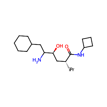 CC(C)[C@H](C[C@H](O)C(N)CC1CCCCC1)C(=O)NC1CCC1